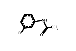 CC(C)c1cccc(NC(=O)C(Cl)(Cl)Cl)c1